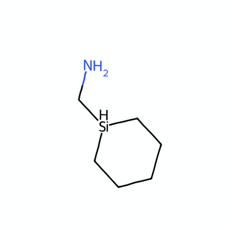 NC[SiH]1CCCCC1